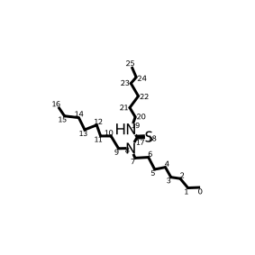 CCCCCCCCN(CCCCCCCC)C(=S)NCCCCCC